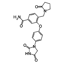 NC(=O)c1ccc(CN2CCCC2=O)c(Oc2ccc(N3CC(=O)NC3=O)cc2)c1